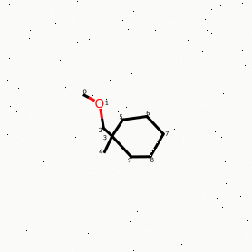 COCC1(C)CCCCC1